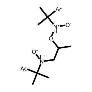 CC(=O)C(C)(C)[NH+]([O-])CC(C)O[NH+]([O-])C(C)(C)C(C)=O